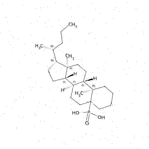 CCC[C@@H](C)[C@H]1CC[C@H]2[C@@H]3CCC4(P(=O)(O)O)C[CH]CC[C@]4(C)[C@H]3CC[C@]12C